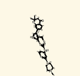 CN1CCN(c2cc(Nc3ncc4c(-c5ccc6c(c5)OC(C)(C)CC6=O)c[nH]c4n3)ccn2)CC1